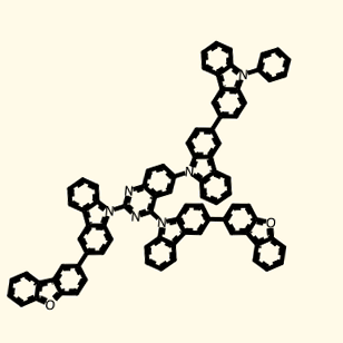 c1ccc(-n2c3ccccc3c3cc(-c4ccc5c(c4)c4ccccc4n5-c4ccc5nc(-n6c7ccccc7c7cc(-c8ccc9oc%10ccccc%10c9c8)ccc76)nc(-n6c7ccccc7c7cc(-c8ccc9oc%10ccccc%10c9c8)ccc76)c5c4)ccc32)cc1